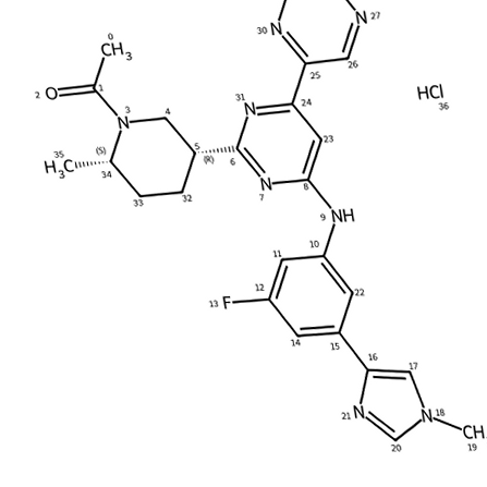 CC(=O)N1C[C@H](c2nc(Nc3cc(F)cc(-c4cn(C)cn4)c3)cc(-c3cnccn3)n2)CC[C@@H]1C.Cl